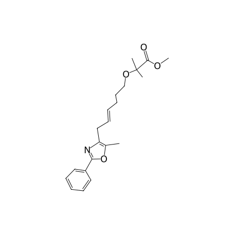 COC(=O)C(C)(C)OCCC/C=C/Cc1nc(-c2ccccc2)oc1C